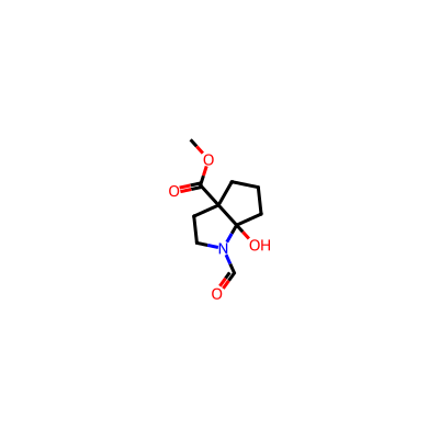 COC(=O)C12CCCC1(O)N(C=O)CC2